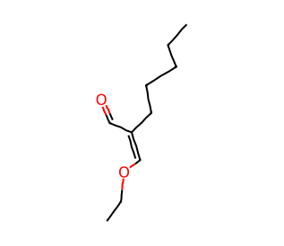 CCCCC/C(C=O)=C/OCC